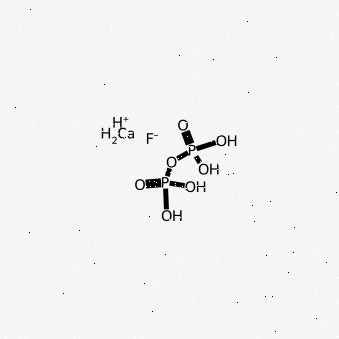 O=P(O)(O)OP(=O)(O)O.[CaH2].[F-].[H+]